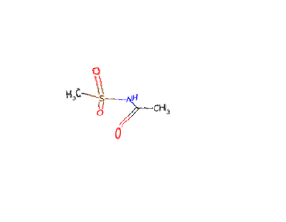 CC(=O)NS(C)(=O)=O